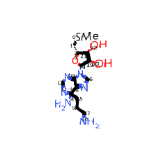 CSC[C@H]1O[C@@H](N2CN=C3C2=NC=NC3(N)CCCN)[C@H](O)[C@@H]1O